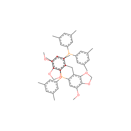 COc1cc(P(c2cc(C)cc(C)c2)c2cc(C)cc(C)c2)c(Cc2c(P(c3cc(C)cc(C)c3)c3cc(C)cc(C)c3)cc(OC)c3c2OCO3)c2c1OCO2